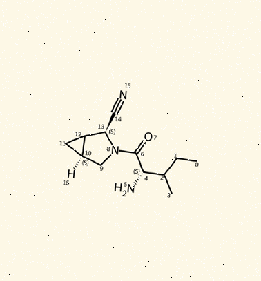 CCC(C)[C@H](N)C(=O)N1C[C@H]2CC2[C@H]1C#N